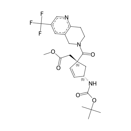 COC(=O)C[C@]1(C(=O)N2CCc3ncc(C(F)(F)F)cc3C2)C=C[C@@H](NC(=O)OC(C)(C)C)C1